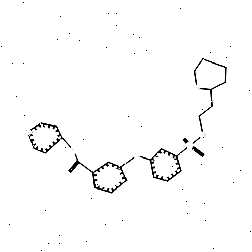 O=C(Nc1ccncc1)c1cccc(Nc2cccc(S(=O)(=O)NCCC3CCCCN3)c2)c1